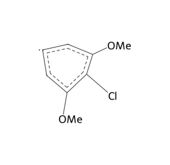 COc1c[c]cc(OC)c1Cl